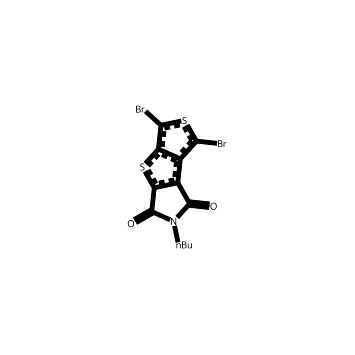 CCCCN1C(=O)c2sc3c(Br)sc(Br)c3c2C1=O